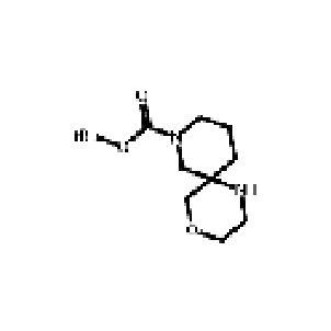 CC(C)(C)OC(=O)N1CCCC2(COCCN2)C1